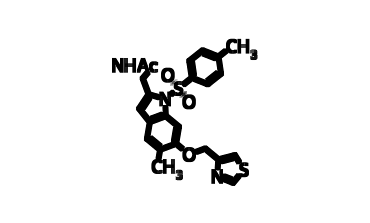 CC(=O)NCc1cc2cc(C)c(OCc3cscn3)cc2n1S(=O)(=O)c1ccc(C)cc1